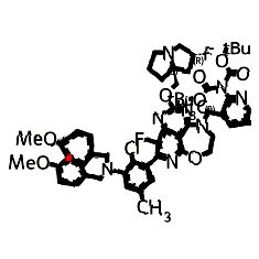 COc1ccc(CN(Cc2ccc(OC)cc2)c2cc(C)cc(-c3nc4c5c(nc(OC[C@@]67CCCN6C[C@H](F)C7)nc5c3F)N([C@H](C)c3cccnc3N(C(=O)OC(C)(C)C)C(=O)OC(C)(C)C)CCO4)c2Cl)cc1